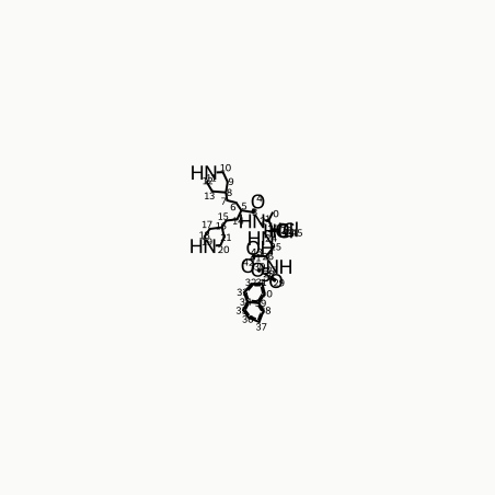 CC(NC(=O)C(CCC1CCNCC1)CCC1CCNCC1)C(=O)NCC(NS(=O)(=O)c1ccc2ccccc2c1)C(=O)O.Cl.Cl